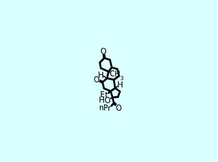 CCCC(=O)[C@@]1(O)CC[C@H]2C3CCC4CC(=O)CCC4(C)[C@H]3C(=O)CC21CC